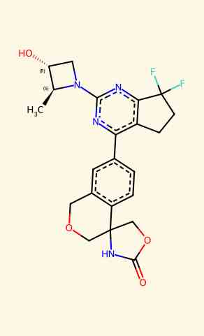 C[C@H]1[C@H](O)CN1c1nc(-c2ccc3c(c2)COCC32COC(=O)N2)c2c(n1)C(F)(F)CC2